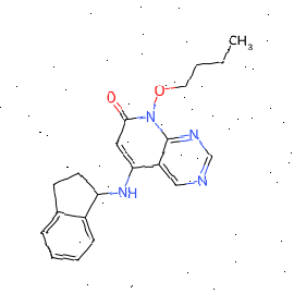 CCCCOn1c(=O)cc(NC2CCc3ccccc32)c2cncnc21